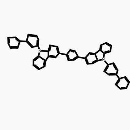 c1ccc(-c2ccc(-n3c4ccccc4c4cc(-c5ccc(-c6ccc7c(c6)c6ccccc6n7-c6cccc(-c7ccccc7)c6)cc5)ccc43)cc2)cc1